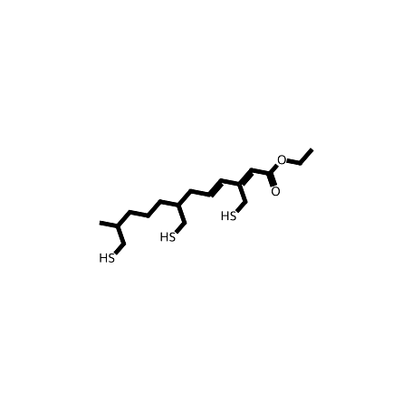 CCOC(=O)C=C(C=CCC(CS)CCCC(C)CS)CS